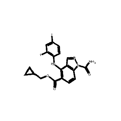 NC(=O)n1ncc2c(Nc3ccc(I)cc3F)c(C(=O)OCC3CC3)ccc21